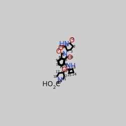 O=C1CCC(N2C(=O)c3cccc(NC4(OC5CCN(C(=O)O)CC5)CCC4)c3C2=O)C(=O)N1